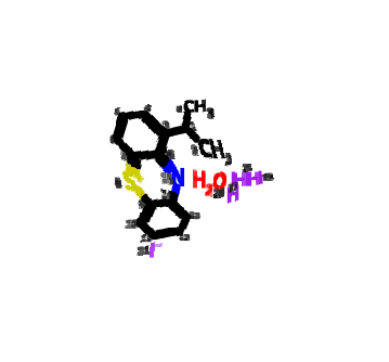 CC(C)c1cccc2[s+]c3ccccc3nc12.I.I.I.O.[I-]